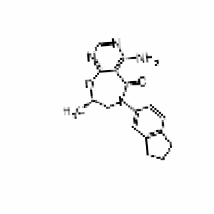 C[C@@H]1CN(c2ccc3c(c2)CCC3)C(=O)c2c(N)ncnc2O1